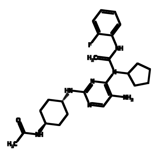 C=C(Nc1ccccc1F)N(c1nc(N[C@H]2CC[C@H](NC(C)=O)CC2)ncc1N)C1CCCC1